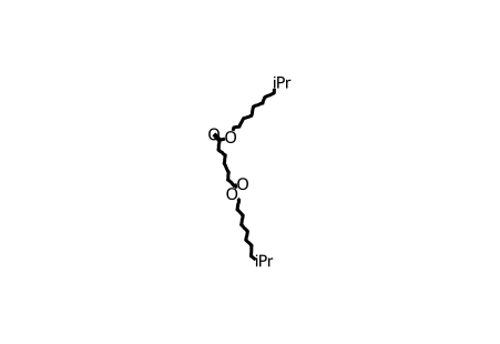 CC(C)CCCCCCCCOC(=O)CCCCCC(=O)OCCCCCCCCC(C)C